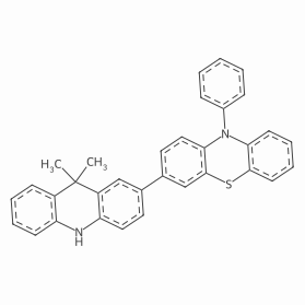 CC1(C)c2ccccc2Nc2ccc(-c3ccc4c(c3)Sc3ccccc3N4c3ccccc3)cc21